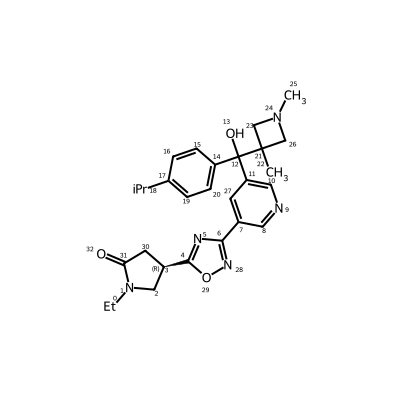 CCN1C[C@H](c2nc(-c3cncc(C(O)(c4ccc(C(C)C)cc4)C4(C)CN(C)C4)c3)no2)CC1=O